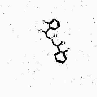 CCC(C[S+]([O-])CC(CC)c1ccccc1F)c1ccccc1F